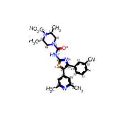 Cc1cc(-c2sc(NC(=O)N3C[C@H](C)N(C(=O)O)[C@@H](C)C3)nc2-c2cccc(C#N)c2)cc(C)n1